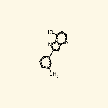 Cc1cccc(-c2cc3nccc(O)n3n2)c1